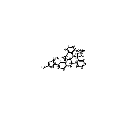 COc1ncnc(C2CC2)c1N1C(=O)N(Cc2ccc(-c3nc(C(F)(F)F)cn3C)cc2)c2ncncc2C12CCC2